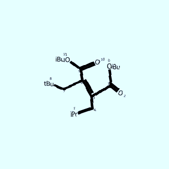 CC(C)COC(=O)C(CC(C)C)=C(CC(C)(C)C)C(=O)OCC(C)C